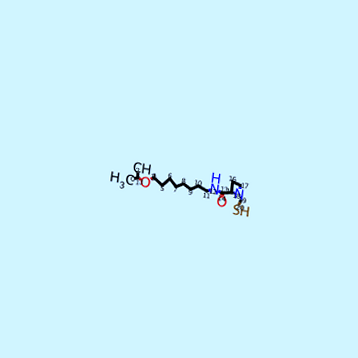 CC(C)OCCCCCCCCNC(=O)C1CCN1CS